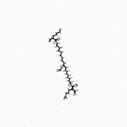 CCCCCC(CC)C(=O)OCCCCCCCCCC(CCCCCCCCCOC(=O)C(CC)CCCCC)OC=O